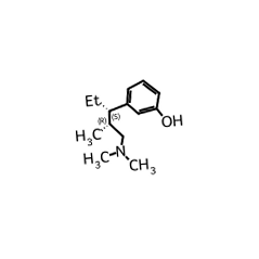 CC[C@H](c1cccc(O)c1)[C@@H](C)CN(C)C